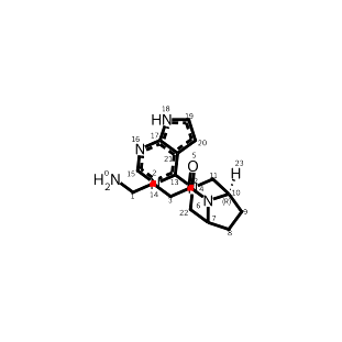 NCCCC(=O)N1C2CC[C@@H]1CN(c1ncnc3[nH]ccc13)C2